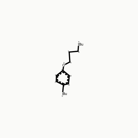 CCC(C)c1ccc(OCCCC(C)(C)C)cc1